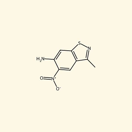 Cc1nsc2cc(N)c([N+](=O)[O-])cc12